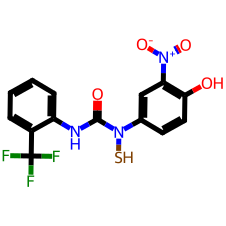 O=C(Nc1ccccc1C(F)(F)F)N(S)c1ccc(O)c([N+](=O)[O-])c1